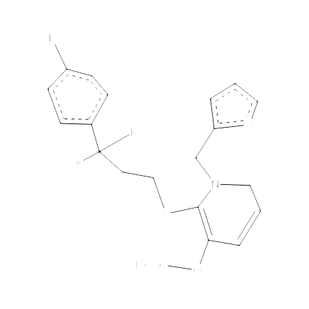 O=C(O)OC1=C(SCCC(F)(F)c2ccc(F)cc2)N(Cc2ccco2)CC=C1